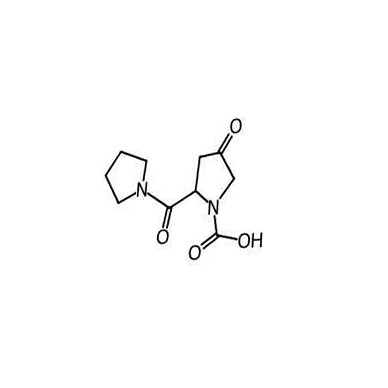 O=C1CC(C(=O)N2CCCC2)N(C(=O)O)C1